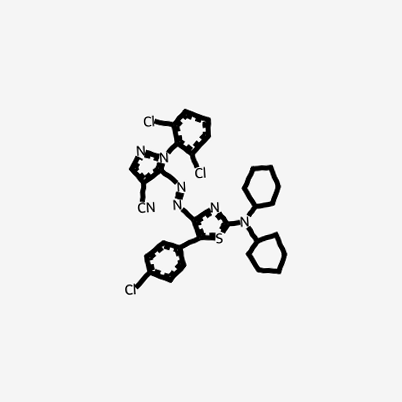 N#Cc1cnn(-c2c(Cl)cccc2Cl)c1N=Nc1nc(N(C2CCCCC2)C2CCCCC2)sc1-c1ccc(Cl)cc1